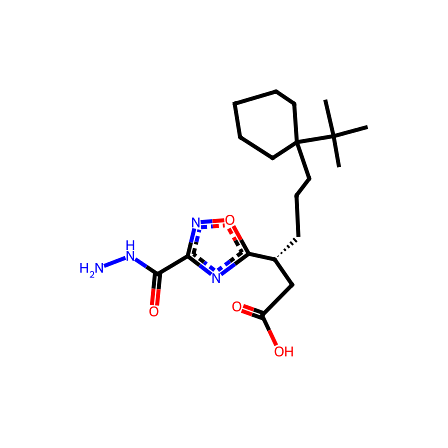 CC(C)(C)C1(CCC[C@H](CC(=O)O)c2nc(C(=O)NN)no2)CCCCC1